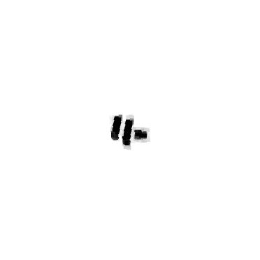 [C]=O.[C]=O.[Mo]